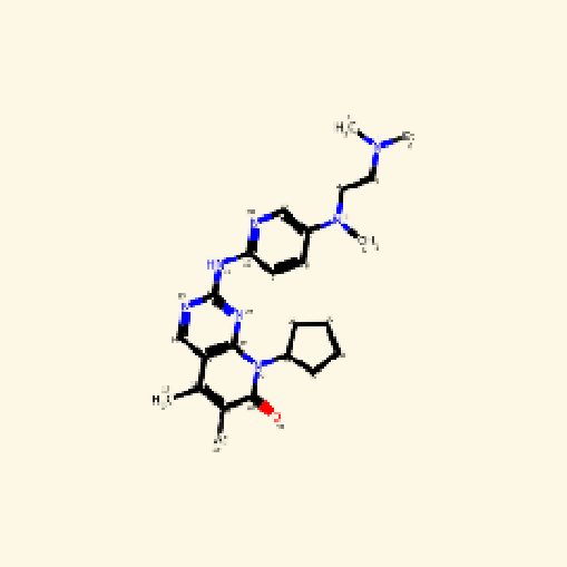 CCN(C)CCN(C)c1ccc(Nc2ncc3c(C)c(C(C)=O)c(=O)n(C4CCCC4)c3n2)nc1